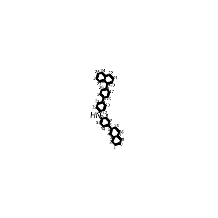 c1ccc2cc(-c3ccc(Nc4ccc(-c5ccc(-c6cccc7ccccc67)cc5)cc4)cc3)ccc2c1